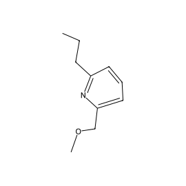 CCCc1cccc(COC)n1